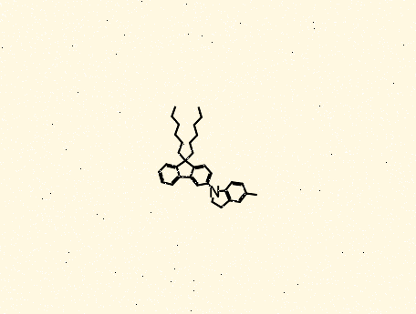 CCCCCCC1(CCCCCC)c2ccccc2-c2cc(N3CCc4cc(C)ccc43)ccc21